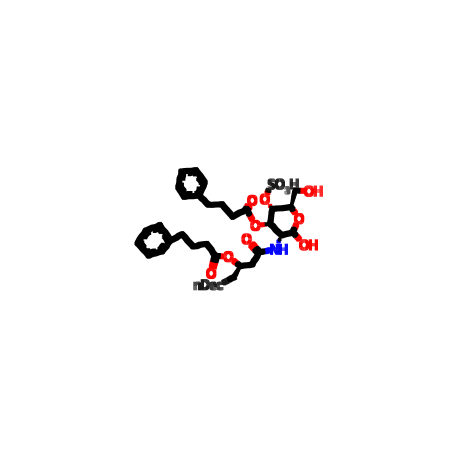 CCCCCCCCCCC[C@H](CC(=O)N[C@H]1C(O)O[C@H](CO)[C@@H](OS(=O)(=O)O)[C@@H]1OC(=O)CCCc1ccccc1)OC(=O)CCCc1ccccc1